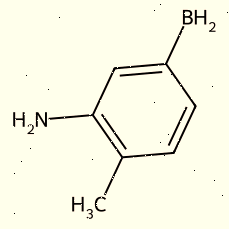 Bc1ccc(C)c(N)c1